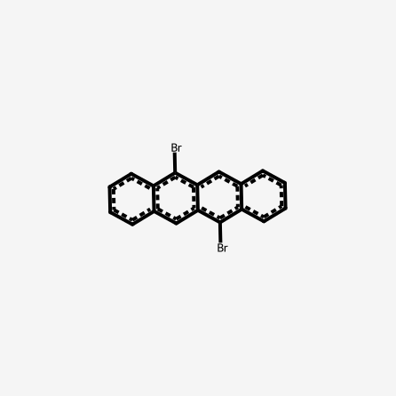 Brc1c2ccccc2cc2c(Br)c3ccccc3cc12